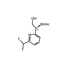 CC(=O)N[C@H](CO)c1cccc(C(F)F)n1